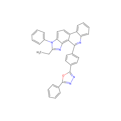 CCc1nc2c3c(-c4ccc(-c5nnc(-c6ccccc6)o5)cc4)nc4ccccc4c3ccc2n1-c1ccccc1